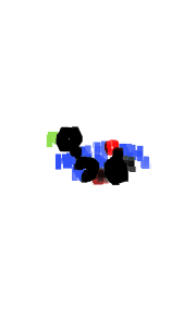 NC(=O)C1C(Nc2c(Br)cnc3[nH]c(-c4cccc(F)c4)nc23)[C@H]2C=C[C@@H]1C2